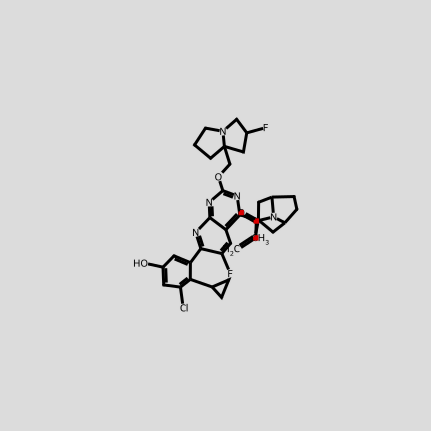 C=CC(=O)N1C2CCC1CC(C)(c1nc(OCC34CCCN3CC(F)C4)nc3nc(-c4cc(O)cc(Cl)c4C4CC4)c(F)cc13)C2